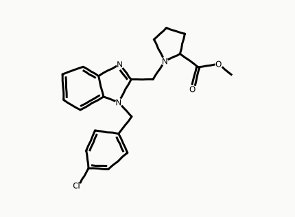 COC(=O)C1CCCN1Cc1nc2ccccc2n1Cc1ccc(Cl)cc1